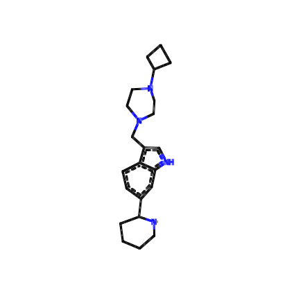 c1cc2c(CN3CCN(C4CCC4)CC3)c[nH]c2cc1C1CCCC[N]1